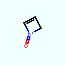 O=[N+]1C=CC1